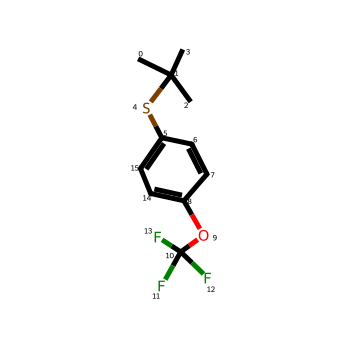 CC(C)(C)Sc1ccc(OC(F)(F)F)cc1